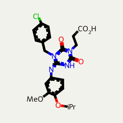 COc1cc(/N=c2\[nH]c(=O)n(CCC(=O)O)c(=O)n2Cc2ccc(Cl)cc2)ccc1OC(C)C